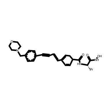 CC(C)[C@H](NC(=O)C1C=CC(C=CC#Cc2ccc(CN3CCOCC3)cc2)=CC1)C(=O)NO